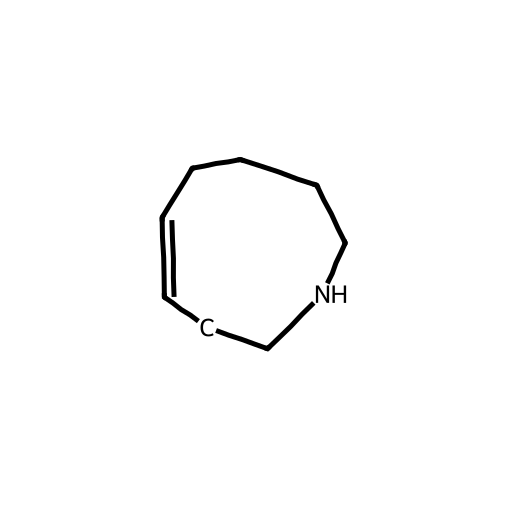 C1=C\CCNCCCC/1